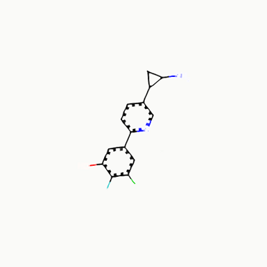 Cl.NC1CC1c1ccc(-c2cc(O)c(F)c(Cl)c2)nc1